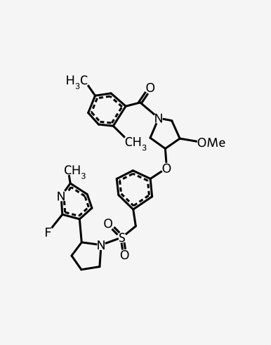 COC1CN(C(=O)c2cc(C)ccc2C)CC1Oc1cccc(CS(=O)(=O)N2CCCC2c2ccc(C)nc2F)c1